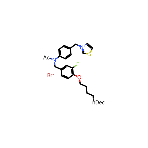 CCCCCCCCCCCCCCOc1ccc(CN(C(C)=O)c2ccc(C[n+]3ccsc3)cc2)cc1F.[Br-]